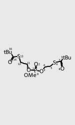 COP(=O)(OCCSC(=O)C(C)(C)C)OCCSC(=O)C(C)(C)C